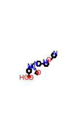 O=C(O)c1ccc2nc(CN3CC=C(c4cccc(OCc5ccncc5)n4)CC3)n(C[C@@H]3CCO3)c2c1